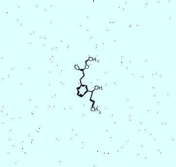 C=CCC(O)c1cccc(CCC(=O)OCC)c1